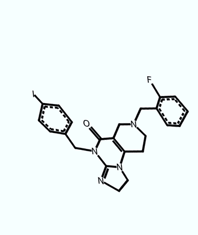 O=C1C2=C(CCN(Cc3ccccc3F)C2)N2CCN=C2N1Cc1ccc(I)cc1